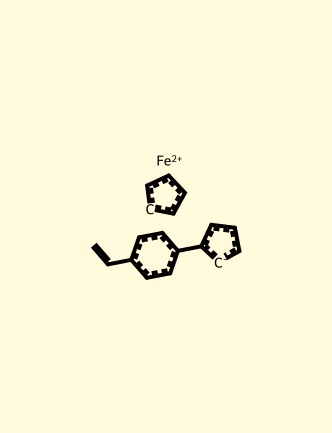 C=Cc1ccc(-c2ccc[cH-]2)cc1.[Fe+2].c1cc[cH-]c1